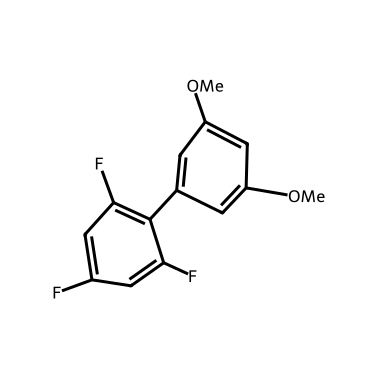 COc1cc(OC)cc(-c2c(F)cc(F)cc2F)c1